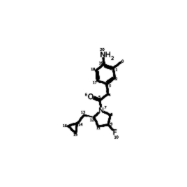 Cc1cc(CC(=O)N2CC(F)C[C@H]2CC2CC2)ccc1N